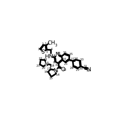 Cc1ccsc1CNc1cc(C(=O)N2CCC[C@H]2CN2CCCC2)c2cc(-c3ccc(C#N)cc3)ccc2n1